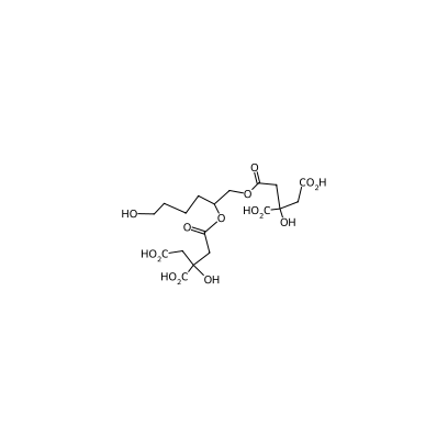 O=C(O)CC(O)(CC(=O)OCC(CCCCO)OC(=O)CC(O)(CC(=O)O)C(=O)O)C(=O)O